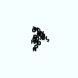 C=CC(=O)N1CCC[C@H](n2nc(-c3ccc(NC(=O)c4ccc(N(C)C)cc4)c4c3OCO4)c3c(N)ncnc32)C1